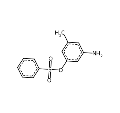 Cc1cc(N)cc(OS(=O)(=O)c2ccccc2)c1